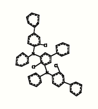 Clc1cc(-c2ccccc2)ccc1N(c1ccccc1)c1cc(-c2ccccc2)cc(N(c2ccccc2)c2ccc(-c3ccccc3)cc2Cl)c1Cl